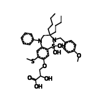 CCCCC1(CCCC)CN(c2ccccc2)c2cc(SC)c(OCC(O)C(=O)O)cc2S(O)(O)N1Cc1ccc(OC)cc1